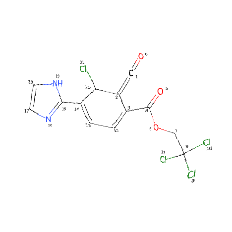 O=C=C1C(C(=O)OCC(Cl)(Cl)Cl)=CC=C(c2ncc[nH]2)C1Cl